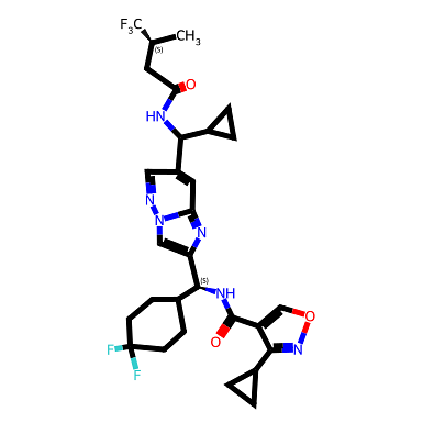 C[C@@H](CC(=O)NC(c1cnn2cc([C@@H](NC(=O)c3conc3C3CC3)C3CCC(F)(F)CC3)nc2c1)C1CC1)C(F)(F)F